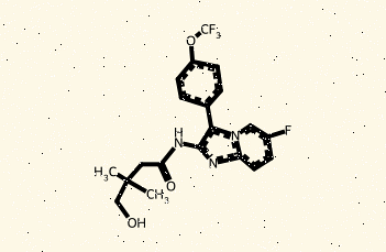 CC(C)(CO)CC(=O)Nc1nc2ccc(F)cn2c1-c1ccc(OC(F)(F)F)cc1